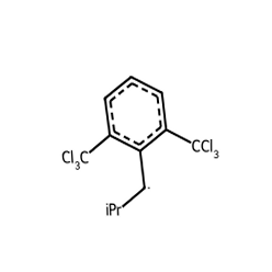 CC(C)[CH]c1c(C(Cl)(Cl)Cl)cccc1C(Cl)(Cl)Cl